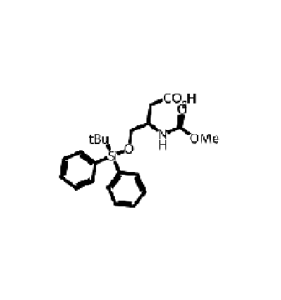 COC(=O)NC(CO[Si](c1ccccc1)(c1ccccc1)C(C)(C)C)CC(=O)O